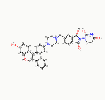 O=C1CCN(N2C(=O)c3ccc(CN4CCN(c5ccc([C@@H]6c7ccc(O)cc7OC[C@@H]6c6ccccc6)cc5)CC4)cc3C2=O)C(=O)N1